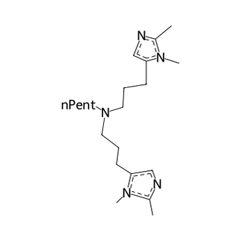 CCCCCN(CCCc1cnc(C)n1C)CCCc1cnc(C)n1C